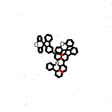 c1ccc(-c2ccccc2N(c2cccc(-c3ccc4c(c3)-c3ccccc3C43c4ccccc4Oc4ccccc43)c2)c2ccccc2-c2ccc3c(c2)-c2ccccc2C32c3ccccc3Oc3ccccc32)cc1